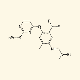 CCCSc1nccc(Oc2cc(C)c(N=CN(C)CC)cc2C(F)F)n1